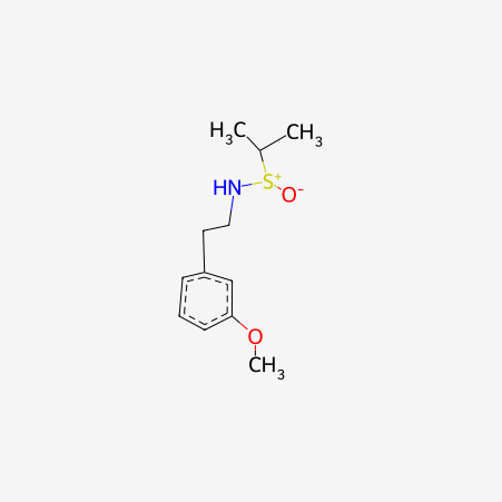 COc1cccc(CCN[S+]([O-])C(C)C)c1